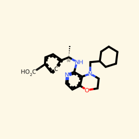 C[C@H](Nc1nccc2c1N(CC1CCCCC1)CCO2)c1ccc(C(=O)O)cc1